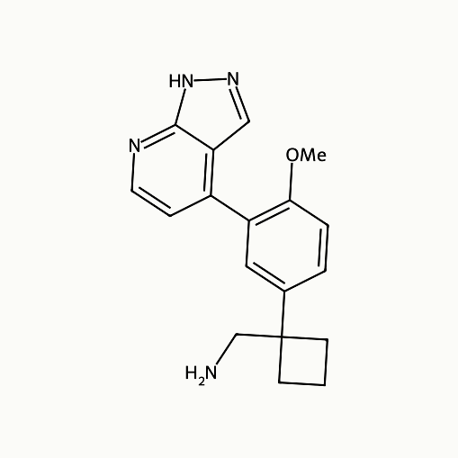 COc1ccc(C2(CN)CCC2)cc1-c1ccnc2[nH]ncc12